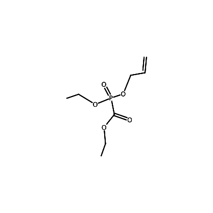 C=CCOP(=O)(OCC)C(=O)OCC